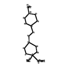 CCCCCC1(C#N)CCC(CCC2CCC(CCC)CC2)CC1